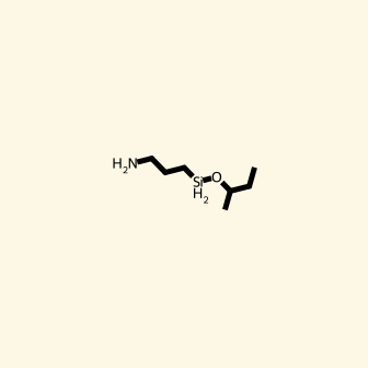 CCC(C)O[SiH2]CCCN